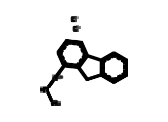 CC(C)(C)[NH][Zr+2][c]1cccc2c1Cc1ccccc1-2.[Cl-].[Cl-]